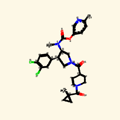 CN(C(=O)Oc1ccc(C(F)(F)F)nc1)[C@H]1CN(C(=O)C2CCN(C(=O)C3(C)CC3)CC2)C[C@@H]1C1C=CC(Cl)=C(Cl)C1